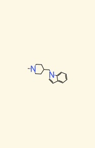 CN1CCC(Cn2ccc3ccccc32)CC1